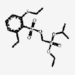 CCOP(=O)(COS(=O)(=O)c1c(CC)cccc1SCC)OC(C)C